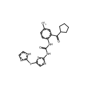 O=C(Nc1ncc(Sc2ncc[nH]2)s1)Nc1ccc(C(F)(F)F)cc1C(=O)C1CCCC1